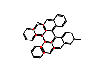 CC1C=c2ccc(P(c3ccccc3)c3ccccc3)c(C3=c4ccccc4=CC(C)C3P(c3ccccc3)c3ccccc3)c2=CC1